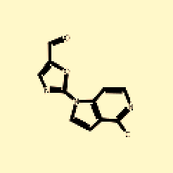 O=Cc1cnc(-n2ccc3c(Cl)nccc32)o1